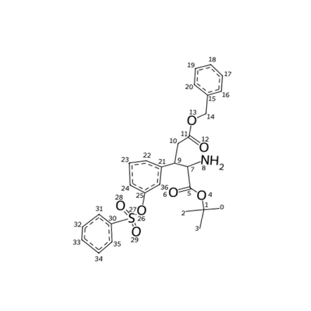 CC(C)(C)OC(=O)C(N)C(CC(=O)OCc1ccccc1)c1cccc(OS(=O)(=O)c2ccccc2)c1